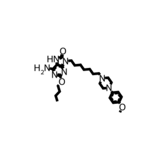 CCCCOc1nc(N)c2[nH]c(=O)n(CCCCCCCN3CCN(c4ccc(OC)cc4)CC3)c2n1